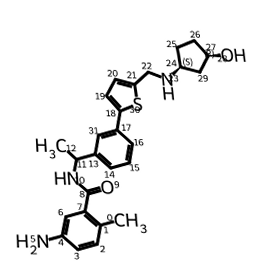 Cc1ccc(N)cc1C(=O)NC(C)c1cccc(-c2ccc(CN[C@H]3CC[C@@H](O)C3)s2)c1